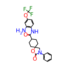 Nc1cc(OC(F)(F)F)ccc1NC(=O)C1CCC2(CC1)CN(c1ccccc1)C(=O)O2